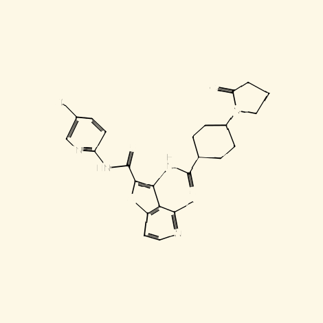 Cc1nccc2oc(C(=O)Nc3ccc(Cl)cn3)c(NC(=O)C3CCC(N4CCCC4=O)CC3)c12